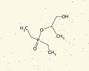 CCP(=O)(CC)OC(C)CO